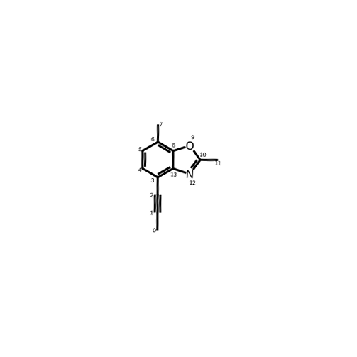 CC#Cc1ccc(C)c2oc(C)nc12